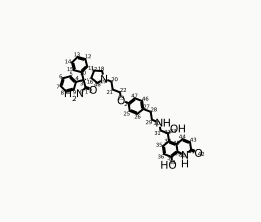 NC(=O)C(c1ccccc1)(c1ccccc1)[C@@H]1CCN(CCCOc2ccc(CCNC[C@@H](O)c3ccc(O)c4[nH]c(=O)ccc34)cc2)C1